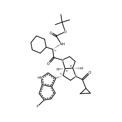 CC(C)(C)OC(=O)N[C@H](C(=O)N1CC[C@@H]2[C@H]1[C@@H](c1c[nH]c3cc(F)ccc13)CN2C(=O)C1CC1)C1CCCCC1